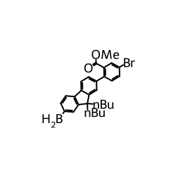 Bc1ccc2c(c1)C(CCCC)(CCCC)c1cc(-c3ccc(Br)cc3C(=O)OC)ccc1-2